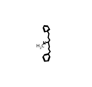 C=NC(CCCc1ccccc1)CCCc1ccccc1